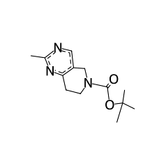 Cc1ncc2c(n1)CCN(C(=O)OC(C)(C)C)C2